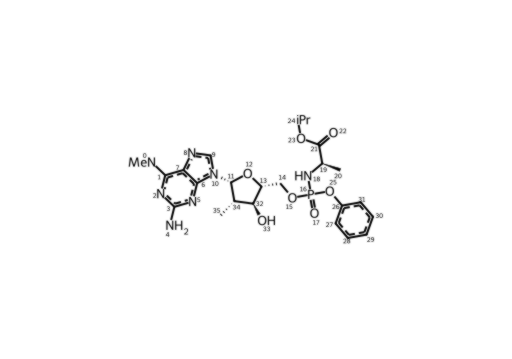 CNc1nc(N)nc2c1ncn2[C@@H]1O[C@H](COP(=O)(N[C@H](C)C(=O)OC(C)C)Oc2ccccc2)[C@@H](O)[C@@H]1C